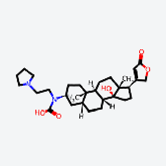 C[C@]12CC[C@H](N(CCN3CCCC3)C(=O)O)C[C@H]1CC[C@@H]1[C@@H]2CC[C@]2(C)[C@@H](C3=CC(=O)OC3)CC[C@]12O